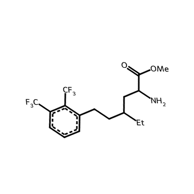 CCC(CCc1cccc(C(F)(F)F)c1C(F)(F)F)CC(N)C(=O)OC